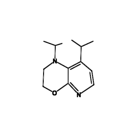 CC(C)c1ccnc2c1N(C(C)C)CCO2